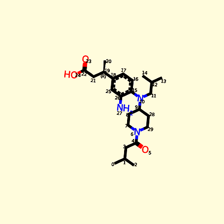 CC(C)CC(=O)N1CCC(N(CC(C)C)c2ccc([C@H](C)CC(=O)O)cc2N)CC1